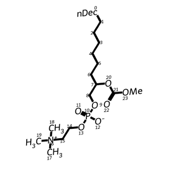 CCCCCCCCCCCCCCCCC(COP(=O)([O-])OCC[N+](C)(C)C)OC(=O)OC